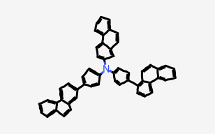 c1ccc2c(c1)ccc1cc(-c3ccc(N(c4ccc(-c5cccc6c5ccc5ccccc56)cc4)c4ccc5c(ccc6ccccc65)c4)cc3)ccc12